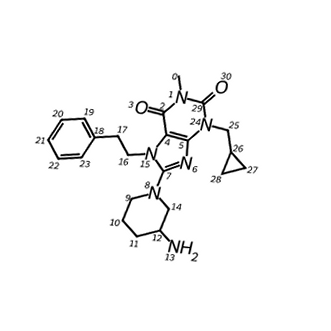 Cn1c(=O)c2c(nc(N3CCCC(N)C3)n2CCc2ccccc2)n(CC2CC2)c1=O